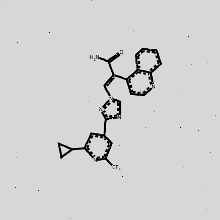 NC(=O)/C(=C/n1cnc(-c2cc(C3CC3)nc(C(F)(F)F)c2)n1)c1ccnc2ccccc12